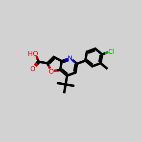 Cc1cc(-c2cc(C(C)(C)C)c3oc(C(=O)O)cc3n2)ccc1Cl